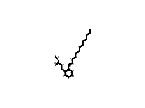 CCCCCCCCCCCC=Cc1ccccc1CCC(=O)OC